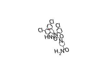 NC(=O)C1CCN(C(=O)CN(c2cccc(Cl)c2)C2(Cc3cccc(Cl)c3)C(=O)Nc3cc(Cl)ccc32)CC1